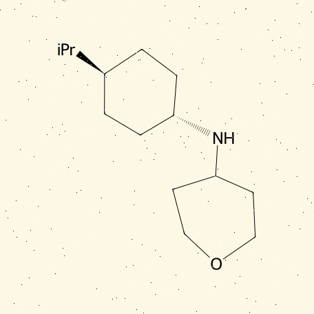 CC(C)[C@H]1CC[C@H](NC2CCOCC2)CC1